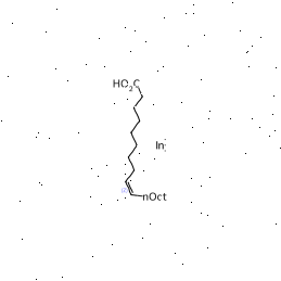 CCCCCCCC/C=C\CCCCCCCC(=O)O.[In]